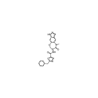 CN1C(=O)[C@@H](NC(=O)c2nnc(Cc3ccccc3)o2)COc2cc3[nH]nnc3cc21